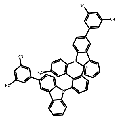 N#Cc1cc(C#N)cc(-c2ccc3c(c2)c2ccccc2n3-c2ccc(C(F)(F)F)cc2-c2c(C#N)cccc2-n2c3ccccc3c3cc(-c4cc(C#N)cc(C#N)c4)ccc32)c1